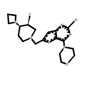 F[C@H]1CN(Cc2cc3nc(Cl)nc(N4CCOCC4)c3s2)CC[C@H]1N1CCC1